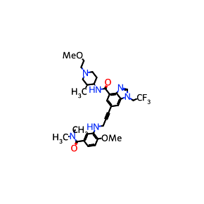 COCCN1CC[C@H](NC(=O)c2cc(C#CCNc3cc(C(=O)N(C)C)ccc3OC)cc3c2ncn3CC(F)(F)F)[C@@H](C)C1